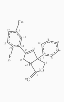 O=C1OCC2(c3ccccc3)C=C(c3cc(F)ccc3F)CN12